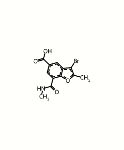 CNC(=O)c1cc(C(=O)O)cc2c(Br)c(C)oc12